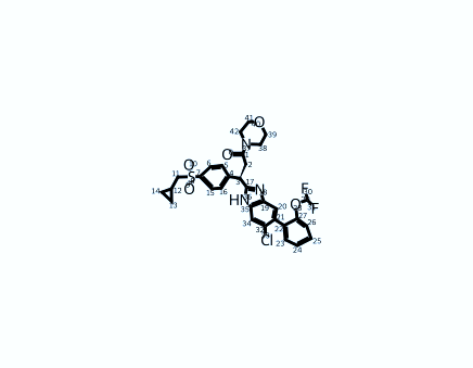 O=C(C[C@H](c1ccc(S(=O)(=O)CC2CC2)cc1)c1nc2cc(-c3ccccc3OC(F)F)c(Cl)cc2[nH]1)N1CCOCC1